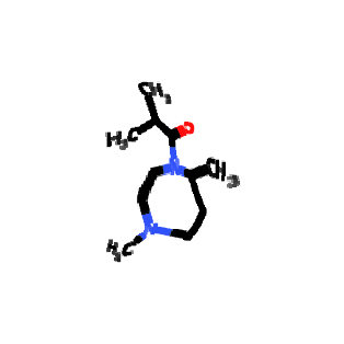 CC(C)C(=O)N1CCN(C)CCC1C